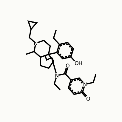 CCc1ccc(O)cc1C12CCN(CC3CC3)C(C)C13CCC(N(CC)C(=O)c1ccc(=O)n(CC)c1)C2CC3